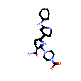 NC(=O)c1ccc(-c2ccnc(NC3CCCCC3)c2)nc1N1CCN(C(=O)O)CC1